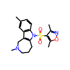 Cc1ccc2c(c1)c1c(n2S(=O)(=O)c2c(C)noc2C)CCCN(C)C1